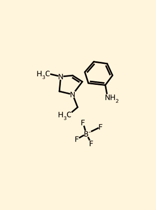 CCN1C=CN(C)C1.F[B-](F)(F)F.Nc1ccccc1